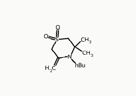 C=C1CS(=O)(=O)CC(C)(C)N1CCCC